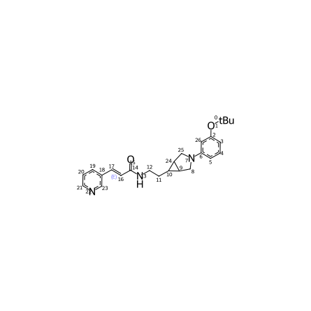 CC(C)(C)Oc1cccc(N2CC3C(CCNC(=O)/C=C/c4cccnc4)C3C2)c1